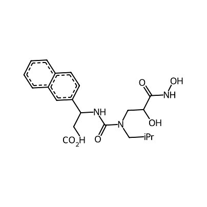 CC(C)CN(CC(O)C(=O)NO)C(=O)NC(CC(=O)O)c1ccc2ccccc2c1